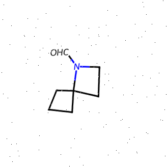 O=CN1CCC12CCC2